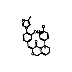 COc1cc(C=C2OCC3=CCC[C@@H](c4ccc(Cl)cc4)N3C2=O)ccc1-n1cnc(C)c1